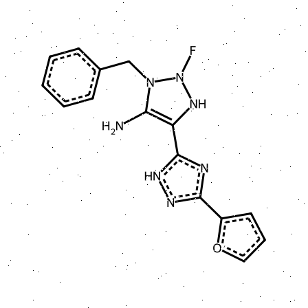 NC1=C(c2nc(-c3ccco3)n[nH]2)NN(F)N1Cc1ccccc1